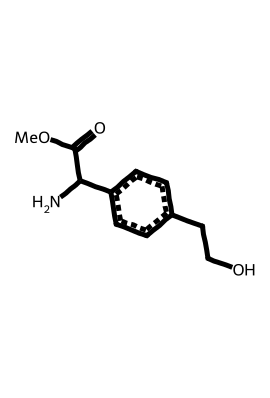 COC(=O)C(N)c1ccc(CCO)cc1